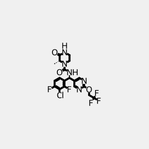 C[C@@H]1C(=O)NCCN1C(=O)N[C@@H](c1cnc(OCC(F)(F)F)nc1)c1ccc(F)c(Cl)c1F